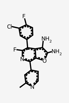 Cc1cc(-c2nc(F)c(-c3ccc(F)c(Cl)c3)c3c(N)c(N)oc23)ccn1